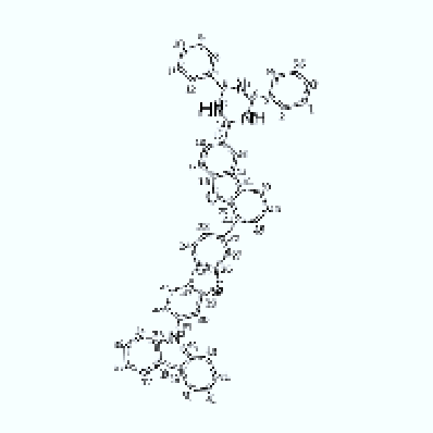 c1ccc(C2=NC(c3ccccc3)NC(c3ccc4oc5c(-c6ccc7c(c6)sc6cc(-n8c9ccccc9c9ccccc98)ccc67)cccc5c4c3)N2)cc1